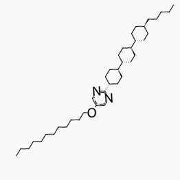 CCCCCCCCCCCCOc1cnc([C@H]2CC[C@H]([C@H]3CC[C@H]([C@H]4CC[C@H](CCCCC)CC4)CC3)CC2)nc1